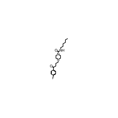 CCCCCCNC(=O)N1CCN(CCCC(=O)c2ccc(F)cc2)CC1